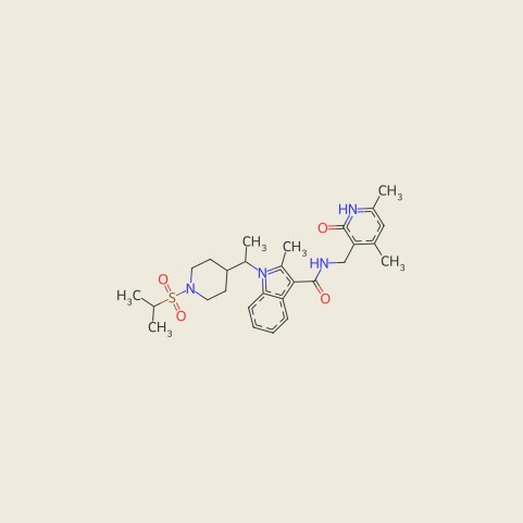 Cc1cc(C)c(CNC(=O)c2c(C)n(C(C)C3CCN(S(=O)(=O)C(C)C)CC3)c3ccccc23)c(=O)[nH]1